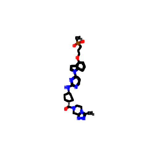 Cc1nnc2n1CCN(C(=O)[C@H]1CC[C@H](Nc3nccc(-n4ccc5c(OCCCS(C)(=O)=O)cccc54)n3)CC1)C2